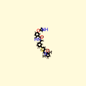 Cc1ccc(OC2CNC2)cc1C(=O)NC(C)c1cccc(-c2ccc(CN3C(=O)[C@@H]4CC[C@H]3C4)s2)c1